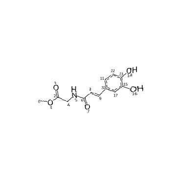 COC(=O)CNC(=O)/C=C/c1ccc(O)c(O)c1